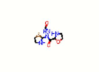 O=CNN(C(=O)C1NCCO1)C1NCCS1